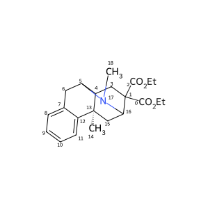 CCOC(=O)C1(C(=O)OCC)CC2C3Cc4ccccc4[C@]2(C)CC1N3C